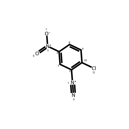 N#[N+]c1cc([N+](=O)[O-])ccc1Cl